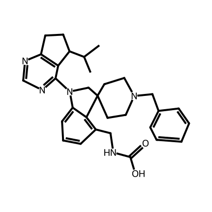 CC(C)C1CCc2ncnc(N3CC4(CCN(Cc5ccccc5)CC4)c4c(CNC(=O)O)cccc43)c21